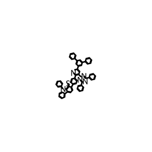 c1ccc(-c2cc(-c3ccccc3)cc(-c3cnc(-c4ccc5c(c4)sc4c5ccc5c6ccccc6n(-c6ccccc6)c54)c(-c4nc(-c5ccccc5)nc(-c5ccccc5)n4)c3)c2)cc1